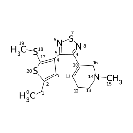 CCc1cc(-c2nsnc2C2=CCCN(C)C2)c(SC)s1